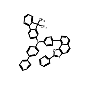 CC1(C)c2ccccc2-c2ccc(N(c3ccc(-c4ccccc4)cc3)c3ccc(-c4cccc5ccc6nc(-c7ccccc7)oc6c45)cc3)cc21